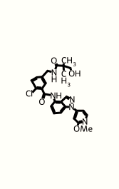 COc1cc(-n2ncc3c(NC(=O)c4cc(CNC(=O)C(C)(C)CO)ccc4Cl)cccc32)ccn1